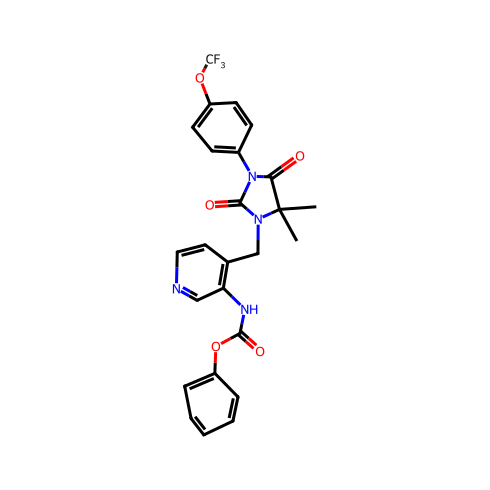 CC1(C)C(=O)N(c2ccc(OC(F)(F)F)cc2)C(=O)N1Cc1ccncc1NC(=O)Oc1ccccc1